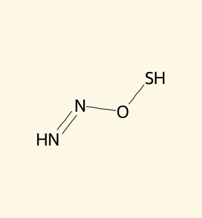 N=NOS